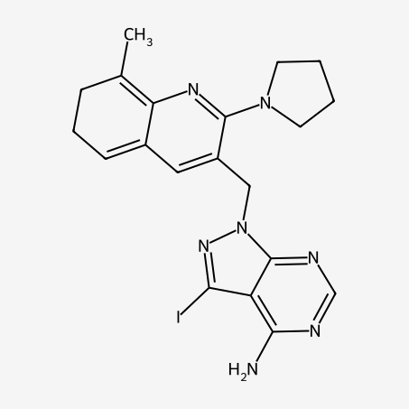 CC1=c2nc(N3CCCC3)c(Cn3nc(I)c4c(N)ncnc43)cc2=CCC1